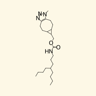 CCCCC(CCCC)CCCNC(=O)OCC1C2CCc3nnn(C)c3CCC21